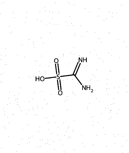 N=C(N)S(=O)(=O)O